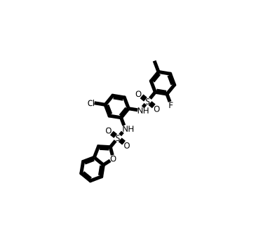 Cc1ccc(F)c(S(=O)(=O)Nc2ccc(Cl)cc2NS(=O)(=O)c2cc3ccccc3o2)c1